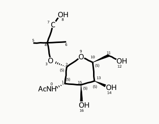 CC(=O)N[C@@H]1[C@H](OC(C)(C)CO)O[C@@H](CO)[C@@H](O)[C@H]1O